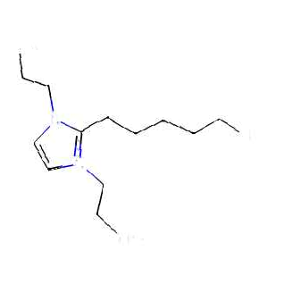 CCCCCCCCCCCCCCCc1n(CCCCCCCCCCCC)cc[n+]1CCCCCCCCCCCC